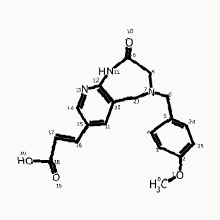 COc1ccc(CN2CC(=O)Nc3ncc(C=CC(=O)O)cc3C2)cc1